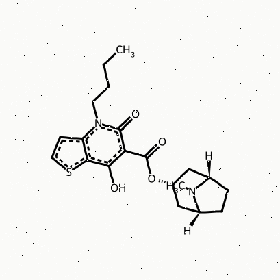 CCCCn1c(=O)c(C(=O)O[C@H]2C[C@H]3CC[C@@H](C2)N3C)c(O)c2sccc21